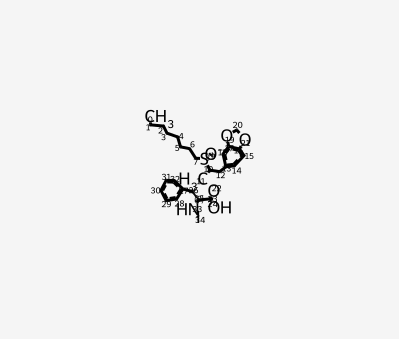 CCCCCCCC[S+]([O-])C(C)Cc1ccc2c(c1)OCO2.O=C(O)[C@H](Cc1ccccc1)NI